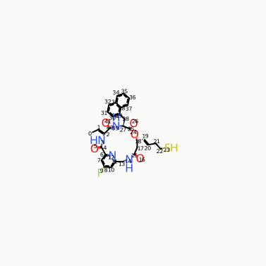 C/C=C1\NC(=O)c2cc(F)cc(n2)CNC(=O)C[C@@H](/C=C/CCS)OC(=O)[C@H](Cc2cccc3ccccc23)NC1=O